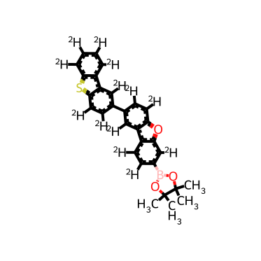 [2H]c1c(-c2c([2H])c([2H])c3sc4c([2H])c([2H])c([2H])c([2H])c4c3c2[2H])c([2H])c2c(oc3c([2H])c(B4OC(C)(C)C(C)(C)O4)c([2H])c([2H])c32)c1[2H]